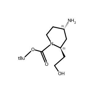 CC(C)(C)OC(=O)N1CC[C@H](N)C[C@H]1CCO